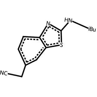 CCC(C)Nc1nc2ccc(CC#N)cc2s1